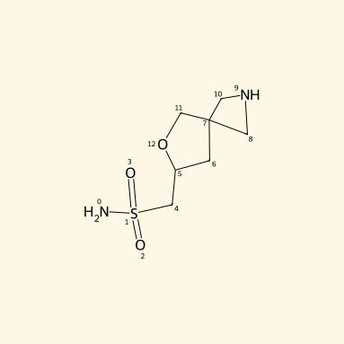 NS(=O)(=O)CC1CC2(CNC2)CO1